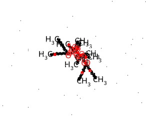 CCCCCCCCCCC(CCCCCCCCCC)C(=O)OCC[C@@H](OCCCC)C(OCCCC)[C@H](OCCCC)[C@@H](C[C@H]1OC(COC(=O)C(CCCCCCCCCC)CCCCCCCCCC)[C@@H](OCCCC)C(OCCCC)C1OCCCC)OC